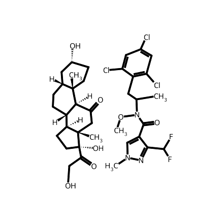 CON(C(=O)c1cn(C)nc1C(F)F)C(C)Cc1c(Cl)cc(Cl)cc1Cl.C[C@]12CC[C@@H](O)C[C@H]1CC[C@@H]1[C@@H]2C(=O)C[C@@]2(C)[C@H]1CC[C@]2(O)C(=O)CO